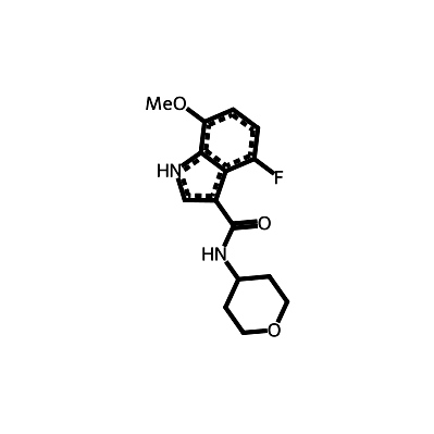 COc1ccc(F)c2c(C(=O)NC3CCOCC3)c[nH]c12